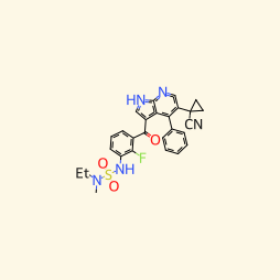 CCN(C)S(=O)(=O)Nc1cccc(C(=O)c2c[nH]c3ncc(C4(C#N)CC4)c(-c4ccccc4)c23)c1F